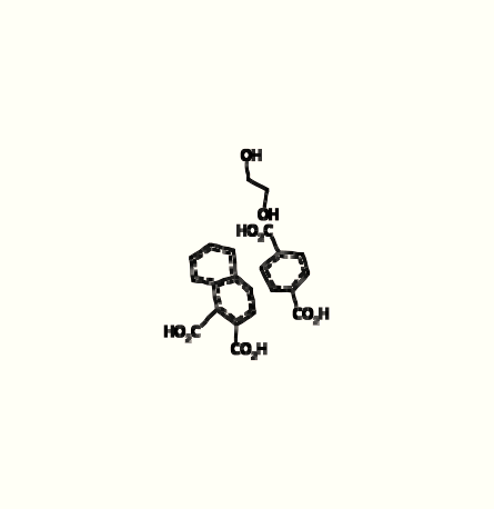 O=C(O)c1ccc(C(=O)O)cc1.O=C(O)c1ccc2ccccc2c1C(=O)O.OCCO